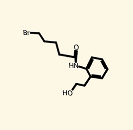 O=C(CCCCBr)Nc1ccccc1CCO